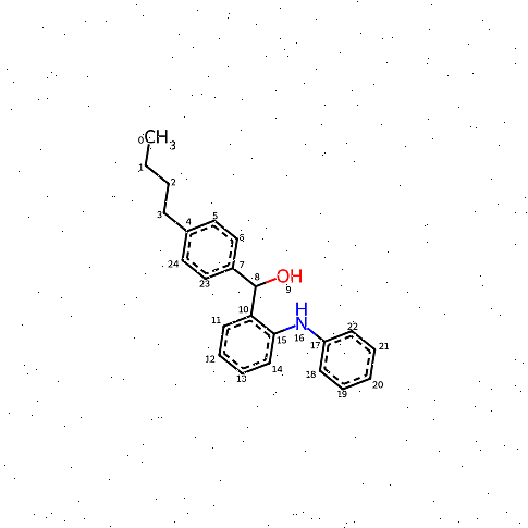 CCCCc1ccc(C(O)c2ccccc2Nc2ccccc2)cc1